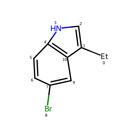 [CH2]Cc1c[nH]c2ccc(Br)cc12